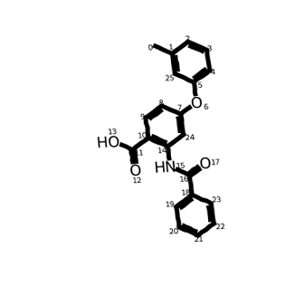 Cc1cccc(Oc2ccc(C(=O)O)c(NC(=O)c3ccccc3)c2)c1